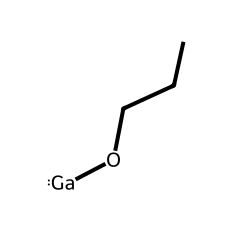 CCC[O][Ga]